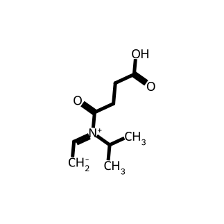 [CH2-]/C=[N+](/C(=O)CCC(=O)O)C(C)C